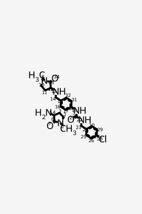 CN1CCC(N)C1=O.CN1CCC(NCc2ccc(NC(=O)NCc3ccc(Cl)cc3)cc2)C1=O